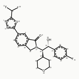 O=C1c2cc(-c3nnc(C(F)F)o3)ccc2CN1[C@H](C1CCOCC1)[C@H](O)c1ccc(F)cc1